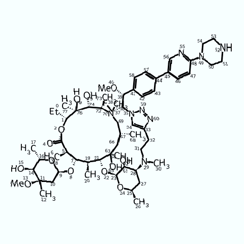 CC[C@H]1OC(=O)[C@H](C)[C@@H](O[C@H]2C[C@@](C)(OC)[C@@H](O)[C@H](C)O2)[C@H](C)[C@@H](O[C@@H]2O[C@H](C)C[C@H](N(C)CCc3cn([C@H](CF)[C@H](OC)c4ccc(-c5ccc(N6CCNCC6)nc5)cc4)nn3)[C@H]2O)[C@](C)(O)C[C@@H](C)CN(C)[C@H](C)[C@@H](O)[C@]1(C)O